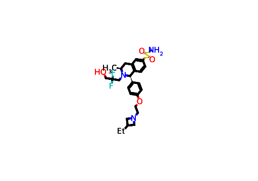 CCC1CN(CCOc2ccc([C@H]3c4ccc(S(N)(=O)=O)cc4C[C@H](C)N3CC(F)(F)CO)cc2)C1